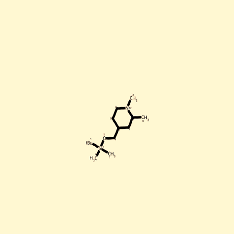 CC1CC(CO[Si](C)(C)C(C)(C)C)CCN1C